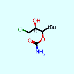 CC(C)(C)C(OC(N)=O)[C@H](O)CCl